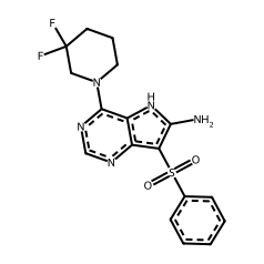 Nc1[nH]c2c(N3CCCC(F)(F)C3)ncnc2c1S(=O)(=O)c1ccccc1